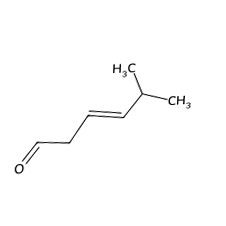 CC(C)C=CCC=O